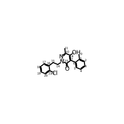 Cc1ccccc1-c1c(O)c(C)nn(CCc2ccccc2Cl)c1=O